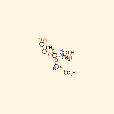 Cc1c(COc2cc(OCc3cncc(SCCC(=O)O)c3)c(CN[C@@](C)(CO)C(=O)O)cc2Cl)cccc1-c1ccc2c(c1)OCCO2